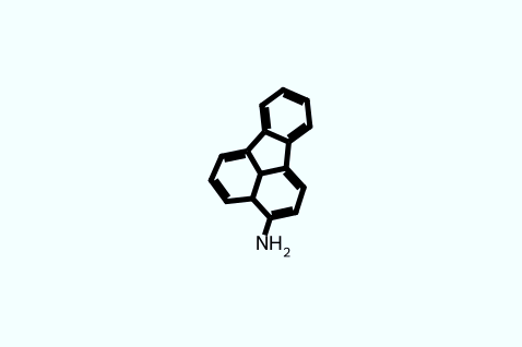 NC1=CC=C2c3ccccc3C3=CC=CC1C32